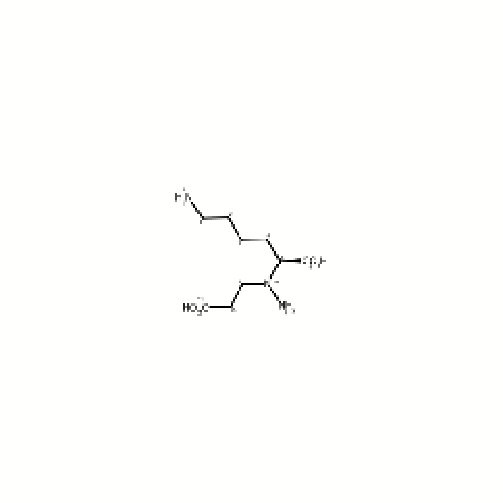 NCCCC[C@@H](C(=O)O)N(N)CCC(=O)O